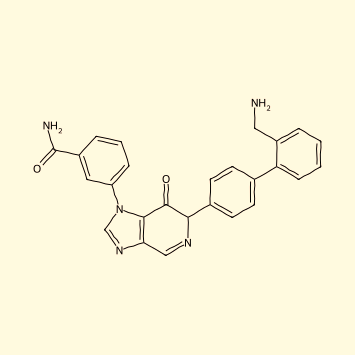 NCc1ccccc1-c1ccc(C2N=Cc3ncn(-c4cccc(C(N)=O)c4)c3C2=O)cc1